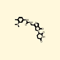 Cc1ccc(NC(=O)NCc2scc3c2CN(C2CCC(=O)NC2=O)C3=O)cc1N(C)C